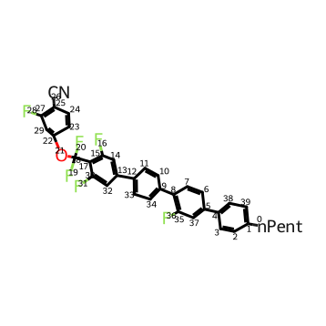 CCCCCc1ccc(-c2ccc(-c3ccc(-c4cc(F)c(C(F)(F)Oc5ccc(C#N)c(F)c5)c(F)c4)cc3)c(F)c2)cc1